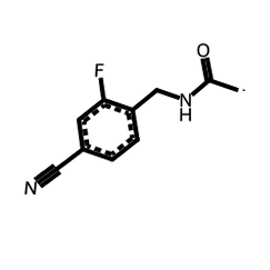 [CH2]C(=O)NCc1ccc(C#N)cc1F